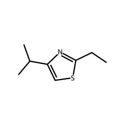 CCc1nc(C(C)C)cs1